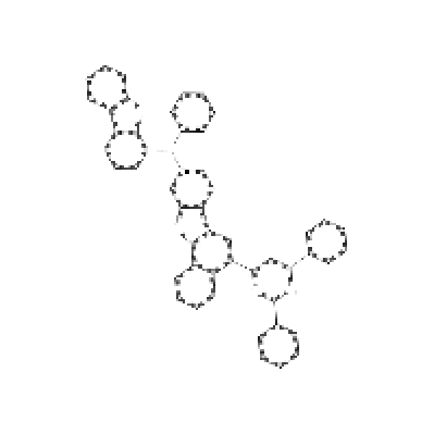 c1ccc(-c2cc(-c3cc4c5ccc(N(c6ccccc6)c6cccc7c6sc6ccccc67)cc5oc4c4ccccc34)nc(-c3ccccc3)n2)cc1